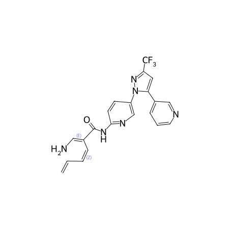 C=C/C=C\C(=C/N)C(=O)Nc1ccc(-n2nc(C(F)(F)F)cc2-c2cccnc2)cn1